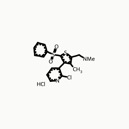 CNCc1sc(S(=O)(=O)c2ccccc2)c(-c2cccnc2Cl)c1C.Cl